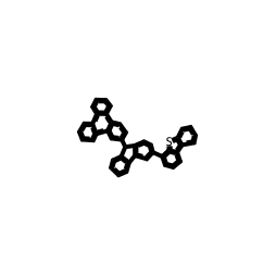 c1ccc2c(c1)-c1cc(-c3cccc4c3sc3ccccc34)ccc1C2c1ccc2c3ccccc3c3ccccc3c2c1